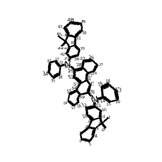 CC1(C)c2ccccc2-c2ccc(N(c3ccccc3)c3cc4c5ccccc5c(N(c5ccccc5)c5ccc6c(c5)C(C)(C)c5ccccc5-6)cc4c4ccccc34)cc21